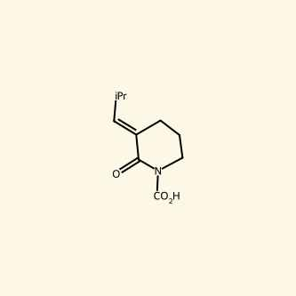 CC(C)C=C1CCCN(C(=O)O)C1=O